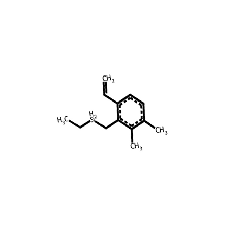 C=Cc1ccc(C)c(C)c1C[SiH2]CC